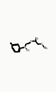 CCC(C)OCC(CC)OCCN(CC)c1cccc(C)c1